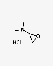 CN(C)C1CO1.Cl